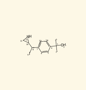 CC(C)(O)c1ccc(C(I)C2CN2)cc1